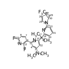 CN(C)c1cc(-c2ccc(F)nc2F)nc(C(C)(C)c2cccc(N3C=CC4(C(F)(F)F)C=C34)n2)c1